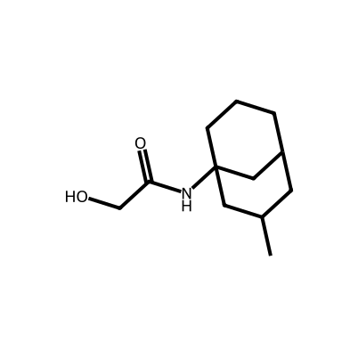 CC1CC2CCCC(NC(=O)CO)(C1)C2